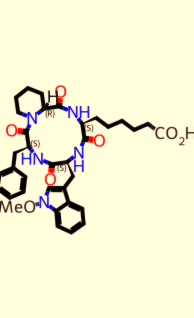 COn1cc(C[C@@H]2NC(=O)[C@H](CCCCCC(=O)O)NC(=O)[C@H]3CCCCN3C(=O)[C@H](Cc3ccccc3)NC2=O)c2ccccc21